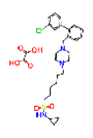 O=C(O)C(=O)O.O=S(=O)(CCCCCCN1CCN(Cc2ccccc2-c2cccc(Cl)c2)CC1)NC1CC1